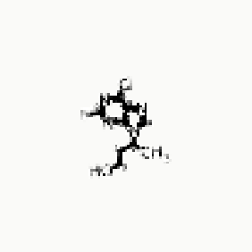 CC(CCO)n1cnc2c(Cl)nc(F)nc21